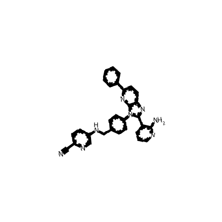 N#Cc1ccc(NCc2ccc(-n3c(-c4cccnc4N)nc4ccc(-c5ccccc5)nc43)cc2)cn1